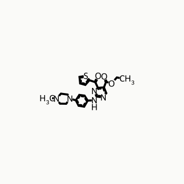 CCOC(=O)c1cnc(Nc2ccc(N3CCN(C)CC3)cc2)nc1C(=O)c1cccs1